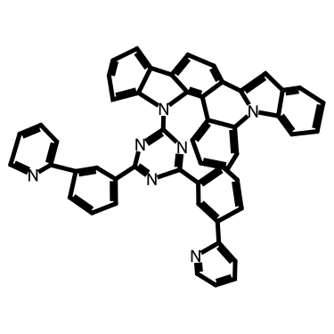 c1ccc(-c2cccc(-c3nc(-c4cccc(-c5ccccn5)c4)nc(-n4c5ccccc5c5ccc6c(c7ccccc7n7c8ccccc8cc67)c54)n3)c2)nc1